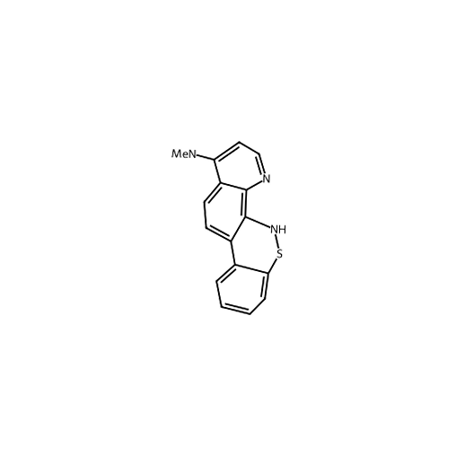 CNc1ccnc2c3c(ccc12)-c1ccccc1SN3